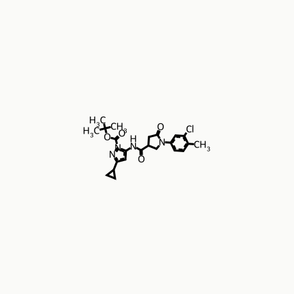 Cc1ccc(N2CC(C(=O)Nc3cc(C4CC4)nn3C(=O)OC(C)(C)C)CC2=O)cc1Cl